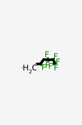 [CH2]CC(F)CC(F)(F)[C@H](F)C(F)(F)F